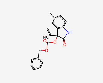 C=C(C#N)C1(OC(=O)OCc2ccccc2)C(=O)Nc2ccc(C)cc21